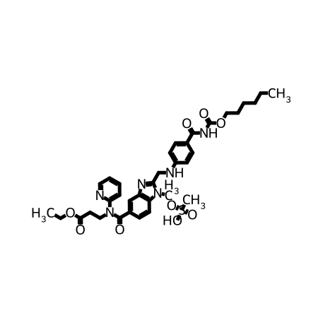 CCCCCCOC(=O)NC(=O)c1ccc(NCc2nc3cc(C(=O)N(CCC(=O)OCC)c4ccccn4)ccc3n2C)cc1.CS(=O)(=O)O